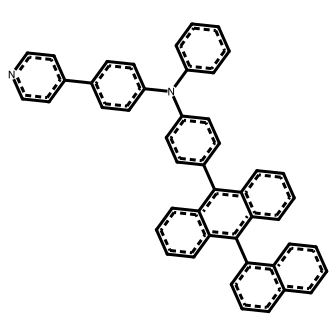 c1ccc(N(c2ccc(-c3ccncc3)cc2)c2ccc(-c3c4ccccc4c(-c4cccc5ccccc45)c4ccccc34)cc2)cc1